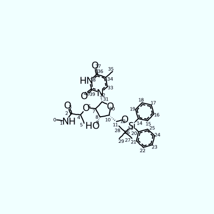 CNC(=O)C(C)OC1[C@@H](O)[C@@H](CO[Si](c2ccccc2)(c2ccccc2)C(C)(C)C)O[C@H]1n1cc(C)c(=O)[nH]c1=O